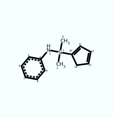 C[Si](C)(Nc1ccccc1)C1=CC=CC1